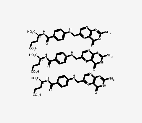 Nc1nc2ncc(CNc3ccc(C(=O)N[C@@H](CCC(=O)O)C(=O)O)cc3)nc2c(=O)[nH]1.Nc1nc2ncc(CNc3ccc(C(=O)N[C@@H](CCC(=O)O)C(=O)O)cc3)nc2c(=O)[nH]1.Nc1nc2ncc(CNc3ccc(C(=O)N[C@@H](CCC(=O)O)C(=O)O)cc3)nc2c(=O)[nH]1